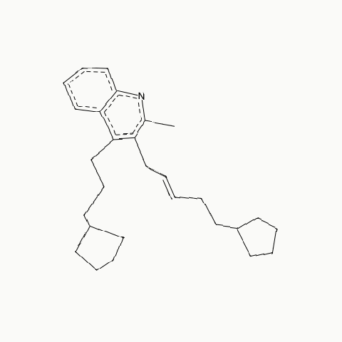 Cc1nc2ccccc2c(CCCC2CCCC2)c1C/C=C/CCC1CCCC1